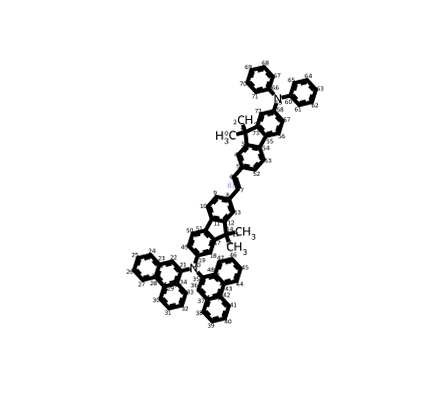 CC1(C)c2cc(/C=C/c3ccc4c(c3)C(C)(C)c3cc(N(c5cc6ccccc6c6ccccc56)c5cc6ccccc6c6ccccc56)ccc3-4)ccc2-c2ccc(N(c3ccccc3)c3ccccc3)cc21